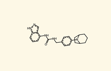 O=C(NCc1ccc(N2C3CCCC2CC3)cc1)Nc1cccc2[nH]ncc12